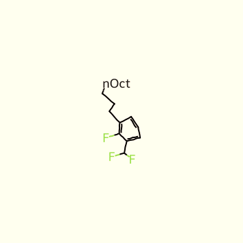 CCCCCCCCCCCc1cccc(C(F)F)c1F